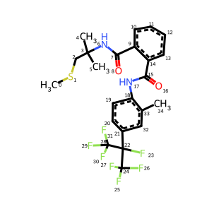 CSCC(C)(C)NC(=O)c1ccccc1C(=O)Nc1ccc(C(F)(C(F)(F)F)C(F)(F)F)cc1C